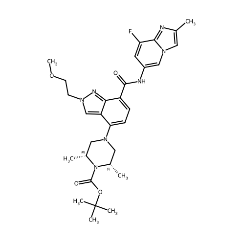 COCCn1cc2c(N3C[C@@H](C)N(C(=O)OC(C)(C)C)[C@@H](C)C3)ccc(C(=O)Nc3cc(F)c4nc(C)cn4c3)c2n1